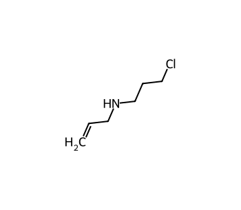 C=CCNCCCCl